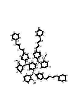 COc1ccccc1N(c1ccc(/C=C/C=C/c2ccccc2)cc1)c1cc(N(c2ccc(/C=C/C=C/c3ccccc3)cc2)c2ccccc2OC)cc(N(c2ccc(/C=C/C=C/c3ccccc3)cc2)c2ccccc2OC)c1